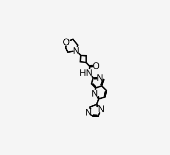 O=C(Nc1cc2nc(-c3cnccn3)ccc2cn1)C1CC(N2CCOCC2)C1